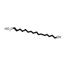 O=C(O)C=CCCCCCCCCCCCCCCO